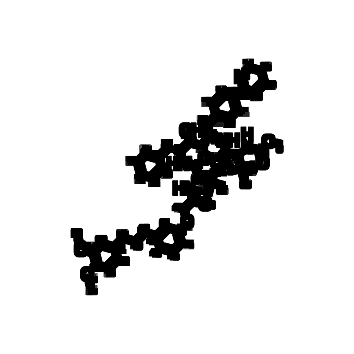 COC(=O)N[C@H](C(=O)NN(Cc1ccc(C2=NCCC=C2)cc1)C[C@H](O)[C@H](Cc1ccccc1)NC(=O)[C@@H](NC(=O)COc1cccc(CCCc2ccc(OC)c(OC)c2)c1)C(C)(C)C)C(C)(C)C